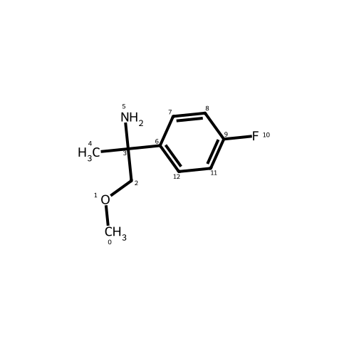 COCC(C)(N)c1ccc(F)cc1